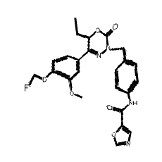 CCC1OC(=O)N(Cc2ccc(NC(=O)c3cnco3)cc2)N=C1c1ccc(OCF)c(OC)c1